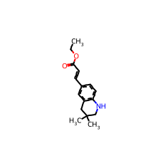 CCOC(=O)C=Cc1ccc2c(c1)CC(C)(C)CN2